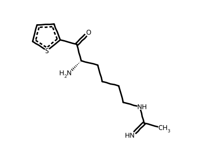 CC(=N)NCCCC[C@H](N)C(=O)c1cccs1